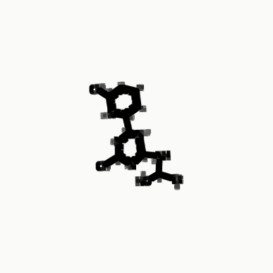 CCC(O)Nc1nc(Cl)nc(-c2cccc(Cl)n2)n1